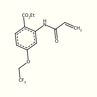 C=CC(=O)Nc1cc(OCC(F)(F)F)ccc1C(=O)OCC